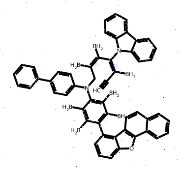 B/C(CN(c1ccc(-c2ccccc2)cc1)c1c(B)c(B)c(-c2cccc3oc4c5ccccc5ccc4c23)c(B)c1B)=C(B)/C(=C(/B)C#C)n1c2ccccc2c2ccccc21